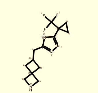 FC(F)(F)C1(c2nnc(CC3CC4(CNC4)C3)[nH]2)CC1